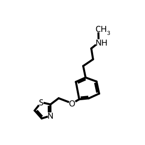 CNCCCc1cccc(OCc2nccs2)c1